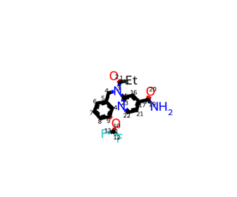 CCC(=O)N(Cc1cccc(OC(F)F)c1)c1cc(C(N)=O)ccn1